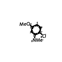 C[N]c1cc(OC)ccc1Cl